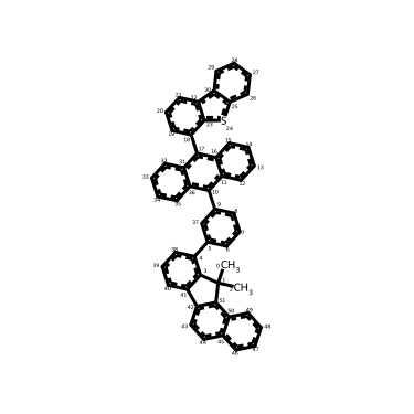 CC1(C)c2c(-c3cccc(-c4c5ccccc5c(-c5cccc6c5sc5ccccc56)c5ccccc45)c3)cccc2-c2ccc3ccccc3c21